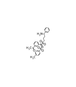 CC(=O)c1cccc(N(OS(=O)(=O)c2ccc(C)cc2)S(=O)(=O)CCCC(N)c2ccccc2)c1